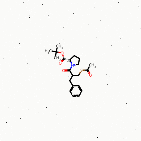 CC(=O)SCC(Cc1ccccc1)C(=O)N1CCC[C@H]1C(=O)OC(C)(C)C